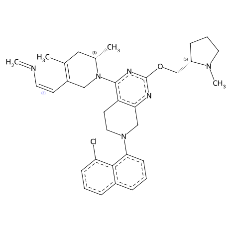 C=N/C=C\C1=C(C)C[C@H](C)N(c2nc(OC[C@@H]3CCCN3C)nc3c2CCN(c2cccc4cccc(Cl)c24)C3)C1